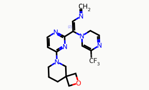 C=N/C=C(/c1nccc(N2CCCC3(COC3)C2)n1)N1C=C(C(F)(F)F)N=CC1